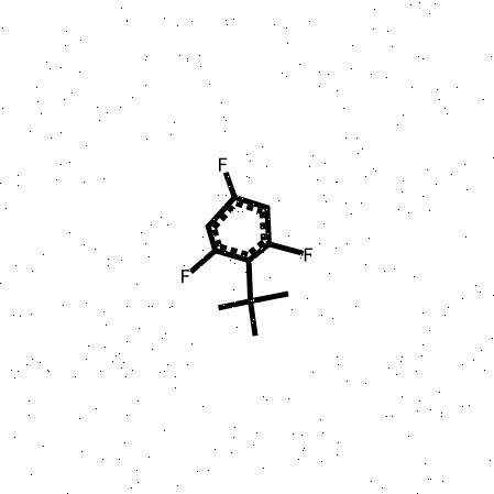 CC(C)(C)c1c(F)cc(F)cc1F